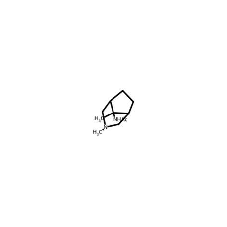 CC(=O)NC1(C)C2CCC1CN(C)C2